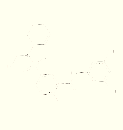 CCN(C1C=CCCC1)S(=O)(=O)c1ccc(F)c(C(=O)Nc2cc(C)cc(C)c2)c1